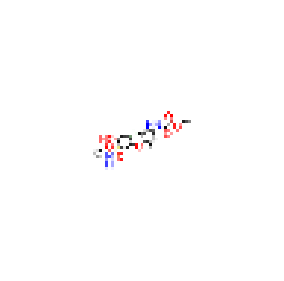 CCOC(=O)C(=O)Nc1cc(C)c(Oc2ccc(O)c(S(=O)(=O)NC3CCC3)c2)c(Cl)c1